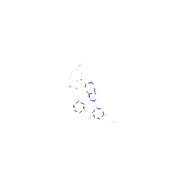 CCOc1cccc(-c2nc3nc(Cl)c(C4CC(O)CCN4S(N)(=O)=O)nc3n2-c2c(OC)cccc2OC)n1